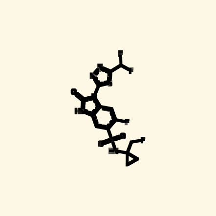 O=c1[nH]c2cc(S(=O)(=O)NC3(CF)CC3)c(F)cc2n1-c1nnc(C(F)F)s1